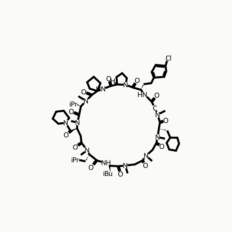 CC[C@H](C)[C@@H]1NC(=O)[C@H](CC(C)C)N(C)C(=O)C[C@@H](C(=O)N2CCCCC2)N(C)C(=O)[C@H](C(C)C)N(C)C(=O)C2(CCCC2)NC(=O)[C@@H]2CCCN2C(=O)[C@H](CCc2ccc(Cl)cc2)NC(=O)CN(C)C(=O)[C@H](CC2CCCCC2)N(C)C(=O)CN(C)C(=O)CN(C)C1=O